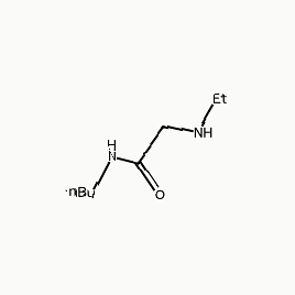 CCC[CH]NC(=O)CNCC